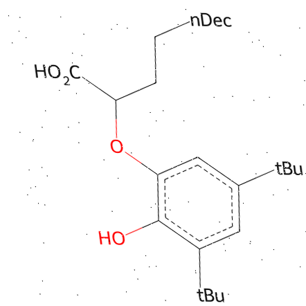 CCCCCCCCCCCCC(Oc1cc(C(C)(C)C)cc(C(C)(C)C)c1O)C(=O)O